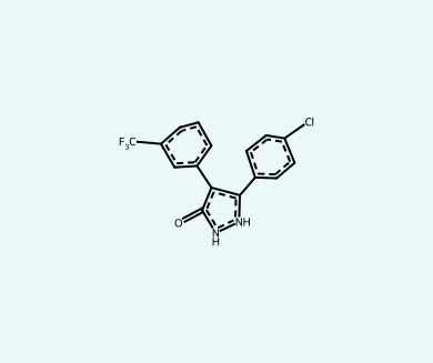 O=c1[nH][nH]c(-c2ccc(Cl)cc2)c1-c1cccc(C(F)(F)F)c1